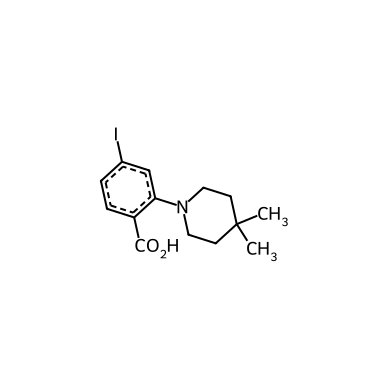 CC1(C)CCN(c2cc(I)ccc2C(=O)O)CC1